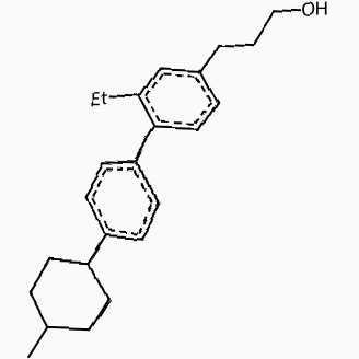 CCc1cc(CCCO)ccc1-c1ccc(C2CCC(C)CC2)cc1